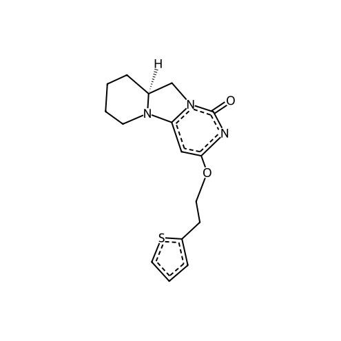 O=c1nc(OCCc2cccs2)cc2n1C[C@@H]1CCCCN21